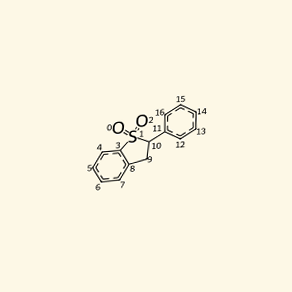 O=S1(=O)c2ccccc2CC1c1ccccc1